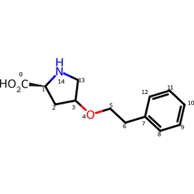 O=C(O)[C@@H]1CC(OCCc2ccccc2)CN1